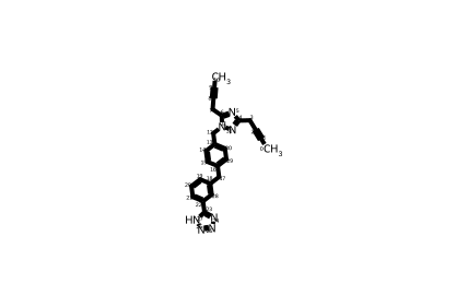 CC#CCc1nc(CC#CC)n(Cc2ccc(Cc3cccc(-c4nnn[nH]4)c3)cc2)n1